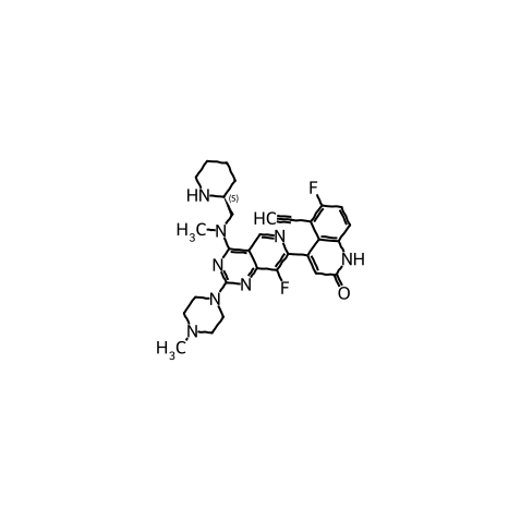 C#Cc1c(F)ccc2[nH]c(=O)cc(-c3ncc4c(N(C)C[C@@H]5CCCCN5)nc(N5CCN(C)CC5)nc4c3F)c12